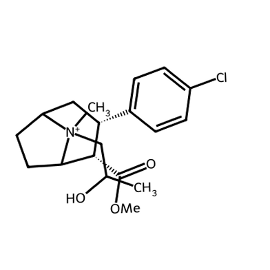 COC(=O)[C@@H]1C2CCC(C[C@@H]1c1ccc(Cl)cc1)[N+]2(C)CC(C)O